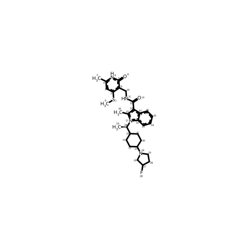 CSc1cc(C)[nH]c(=O)c1CNC(=O)c1c(C)n([C@H](C)C2CCC(N3CCC(F)C3)CC2)c2ccccc12